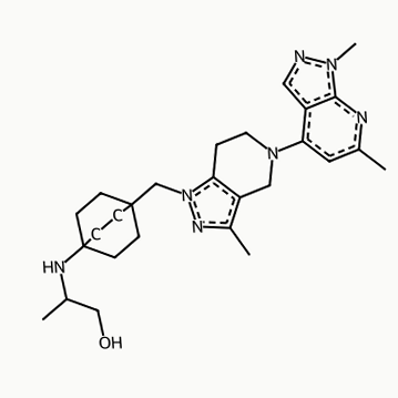 Cc1cc(N2CCc3c(c(C)nn3CC34CCC(NC(C)CO)(CC3)CC4)C2)c2cnn(C)c2n1